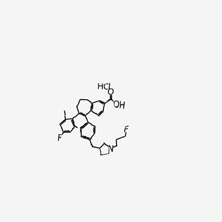 Cc1cc(F)cc(C)c1C1=C(c2ccc(CC3CCN(CCCF)C3)cc2)c2ccc(C(=O)O)cc2CCC1.Cl